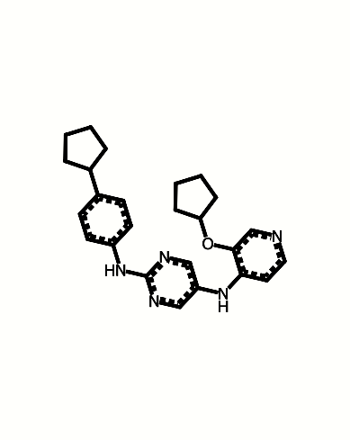 c1cc(Nc2cnc(Nc3ccc(C4CCCC4)cc3)nc2)c(OC2CCCC2)cn1